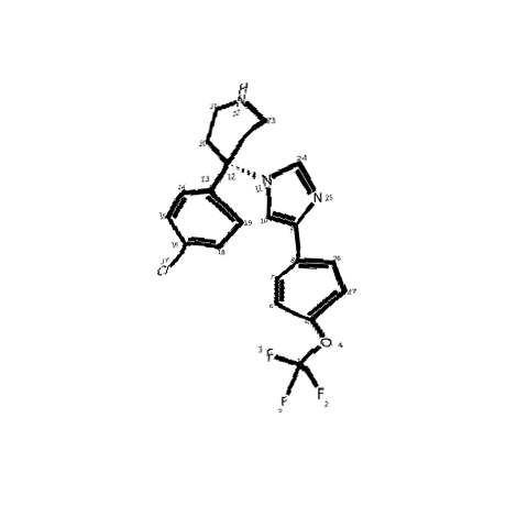 FC(F)(F)Oc1ccc(-c2cn([C@]3(c4ccc(Cl)cc4)CCNC3)cn2)cc1